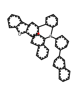 c1cc(-c2ccc3ccccc3c2)cc(N(c2ccccc2-c2ccc3oc4ccccc4c3c2)c2cccc3ccccc23)c1